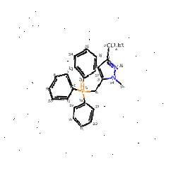 CCOC(=O)c1cc(C[PH](c2ccccc2)(c2ccccc2)c2ccccc2)n(C)n1